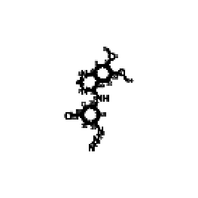 COc1cc2ncnc(Nc3cc(Cl)cc(N=[N+]=[N-])c3)c2cc1OC